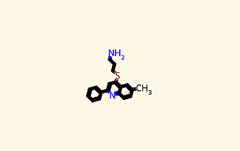 Cc1ccc2nc(-c3ccccc3)cc(SCCCN)c2c1